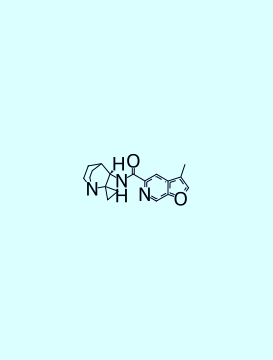 Cc1coc2cnc(C(=O)N[C@H]3C4CCN(CC4)C34CC4)cc12